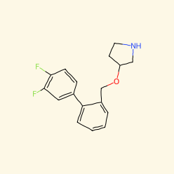 Fc1ccc(-c2ccccc2COC2CCNC2)cc1F